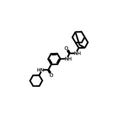 O=C(Nc1cccc(C(=O)NC2CCCCC2)c1)NC1C2CC3CC(C2)CC1C3